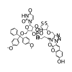 COc1ccc(C(OC[C@H]2O[C@@H](n3ccc(=O)[nH]c3=O)[C@H](OC)[C@@H]2O[PH](O)(OCCC#N)O[C@@H]2CSSC[C@H]2OCc2cn(-c3cc4ccc(O)cc4oc3=O)nn2)(c2ccccc2)c2ccc(OC)cc2)cc1